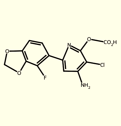 Nc1cc(-c2ccc3c(c2F)OCO3)nc(OC(=O)O)c1Cl